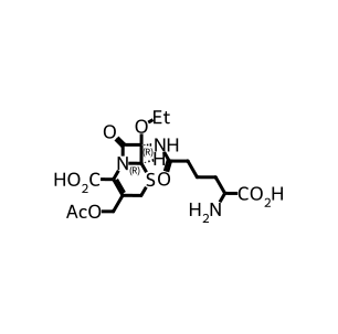 CCO[C@]1(NC(=O)CCCC(N)C(=O)O)C(=O)N2C(C(=O)O)=C(COC(C)=O)CS[C@@H]21